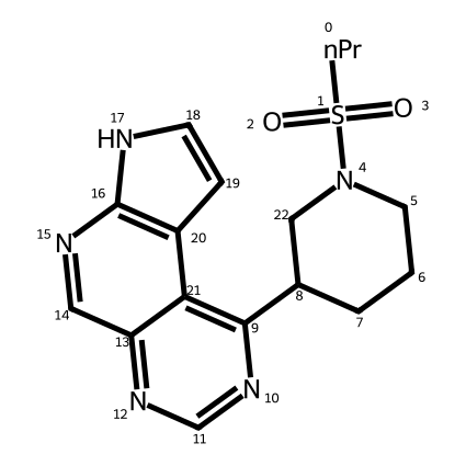 CCCS(=O)(=O)N1CCCC(c2ncnc3cnc4[nH]ccc4c23)C1